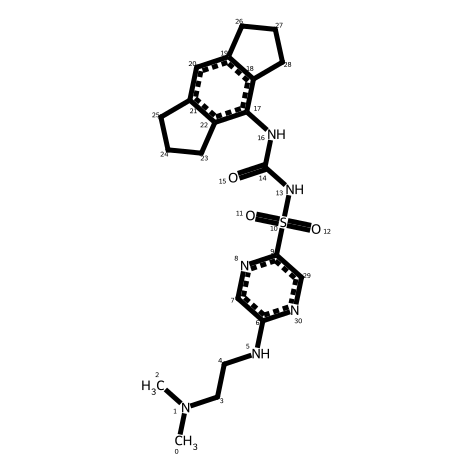 CN(C)CCNc1cnc(S(=O)(=O)NC(=O)Nc2c3c(cc4c2CCC4)CCC3)cn1